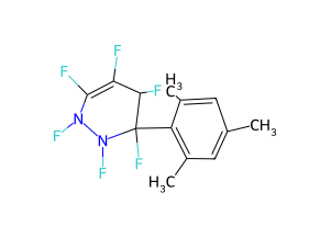 Cc1cc(C)c(C2(F)C(F)C(F)=C(F)N(F)N2F)c(C)c1